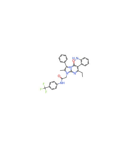 CCc1nc2n(CC(=O)Nc3ccc(C(F)(F)F)cc3)c(C)c(-c3ccccc3)n2c(=O)c1-c1ccccc1N